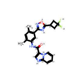 Cc1cc(C)c(-c2noc(C3CC(F)(F)C3)n2)cc1NC(=O)c1cnc2ccccn12